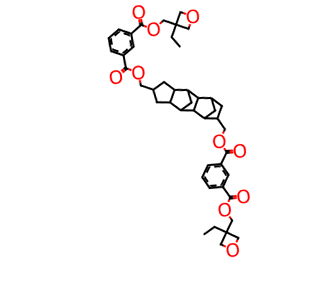 CCC1(COC(=O)c2cccc(C(=O)OCC3CC4C(C3)C3CC4C4C5CC(COC(=O)c6cccc(C(=O)OCC7(CC)COC7)c6)C(C5)C34)c2)COC1